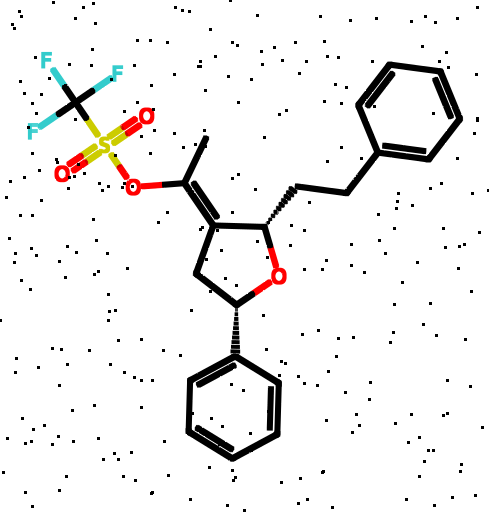 C/C(OS(=O)(=O)C(F)(F)F)=C1/C[C@@H](c2ccccc2)O[C@H]1CCc1ccccc1